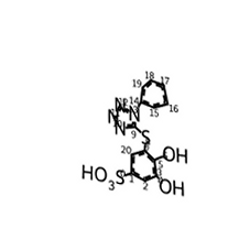 O=S(=O)(O)c1cc(O)c(O)c(Sc2nnnn2-c2ccccc2)c1